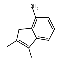 Bc1cccc2c1CC(C)=C2C